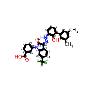 Cc1cc(C)cc(-c2cccc(N/N=C3\C(=O)N(c4cccc(C(=O)O)c4)c4cc(C(F)(F)F)ccc43)c2O)c1